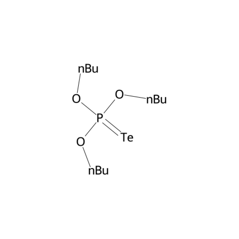 CCCCOP(=[Te])(OCCCC)OCCCC